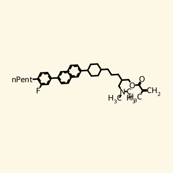 C=C(C)C(=O)OCC(CCCC1CCC(c2ccc3cc(-c4ccc(CCCCC)c(F)c4)ccc3c2)CC1)CN(C)C